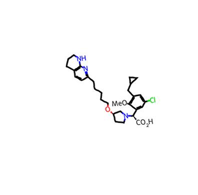 COc1c(CC2CC2)cc(Cl)cc1[C@@H](C(=O)O)N1CC[C@@H](OCCCCCc2ccc3c(n2)NCCC3)C1